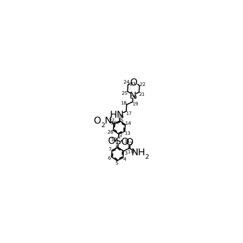 NC(=O)c1ccccc1S(=O)(=O)c1ccc(NCCCN2CCOCC2)c([N+](=O)[O-])c1